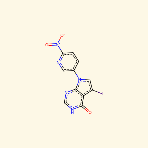 O=c1[nH]cnc2c1c(I)cn2-c1ccc([N+](=O)[O-])nc1